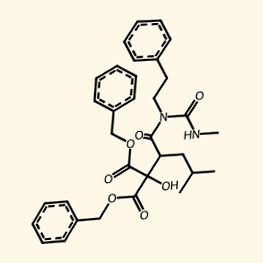 CNC(=O)N(CCc1ccccc1)C(=O)C(CC(C)C)C(O)(C(=O)OCc1ccccc1)C(=O)OCc1ccccc1